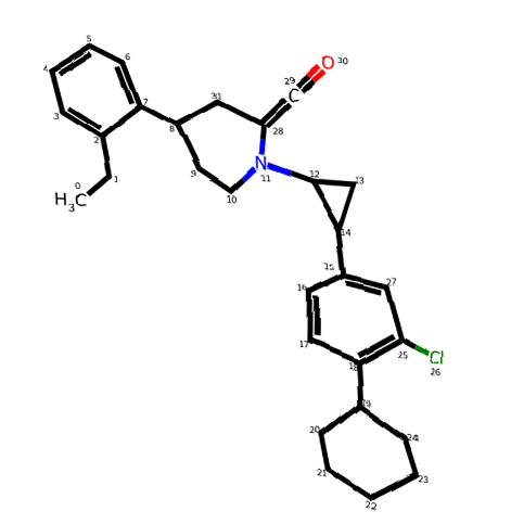 CCc1ccccc1C1CCN(C2CC2c2ccc(C3CCCCC3)c(Cl)c2)C(=C=O)C1